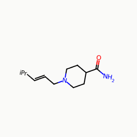 CC(C)/C=C/CN1CCC(C(N)=O)CC1